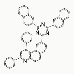 c1ccc(-c2cc(-c3ccccc3)c3c(ccc4ccc(-c5nc(-c6ccc7ccccc7c6)nc(-c6ccc7ccccc7c6)n5)cc43)n2)cc1